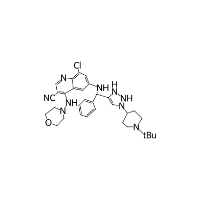 CC(C)(C)N1CCC(N2C=C([C@@H](Nc3cc(Cl)c4ncc(C#N)c(NN5CCOCC5)c4c3)c3ccccc3)NN2)CC1